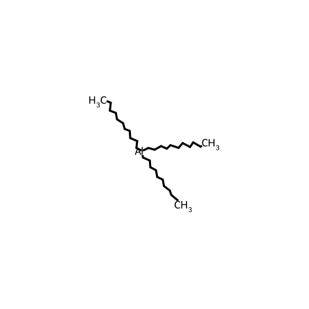 CCCCCCCCCC[CH2][Al]([CH2]CCCCCCCCCC)[CH2]CCCCCCCCCC